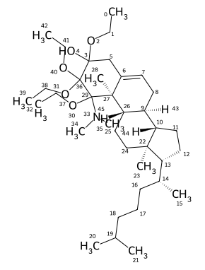 CCOC1(O)CC2=CC[C@H]3[C@@H]4CC[C@H]([C@H](C)CCCC(C)C)[C@@]4(C)CC[C@@H]3[C@@]2(C)C(OCC)(N(C)C)C1(OCC)OCC